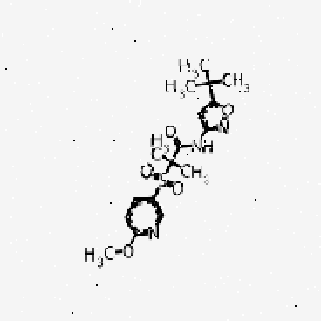 COc1ccc(S(=O)(=O)C(C)(C)C(=O)Nc2cc(C(C)(C)C)on2)cn1